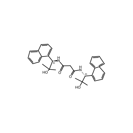 CC(C)(O)[C@H](NC(=O)CC(=O)N[C@H](c1cccc2ccccc12)C(C)(C)O)c1cccc2ccccc12